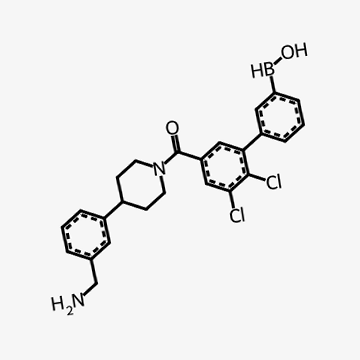 NCc1cccc(C2CCN(C(=O)c3cc(Cl)c(Cl)c(-c4cccc(BO)c4)c3)CC2)c1